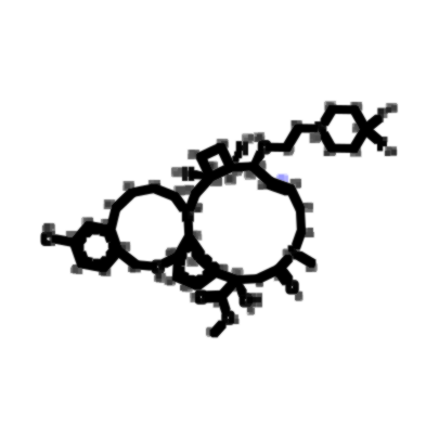 COC(=O)[C@@]1(O)CC(=O)N(C)CC/C=C/[C@H](OCCN2CCC(F)(F)CC2)[C@@H]2CC[C@H]2CN2CCCCc3cc(Cl)ccc3COc3ccc1cc32